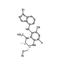 CCOC[C@@H](Nc1nc(Nc2cccc3c2cnn3CC)c(C#N)cc1F)[C@H](C)NC(=O)O